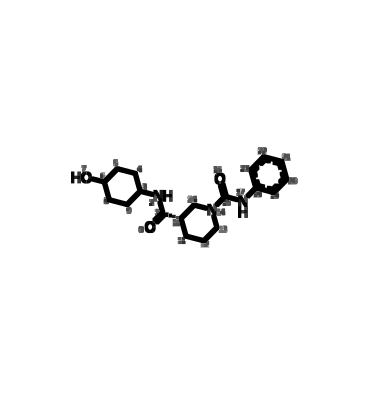 O=C(NC1CCC(O)CC1)[C@H]1CCCN(C(=O)Nc2ccccc2)C1